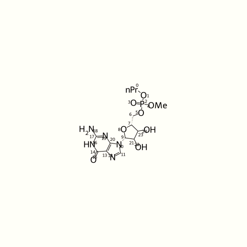 CCCOP(=O)(OC)OC[C@H]1O[C@@H](n2cnc3c(=O)[nH]c(N)nc32)C(O)C1O